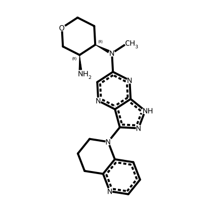 CN(c1cnc2c(N3CCCc4ncccc43)n[nH]c2n1)[C@@H]1CCOC[C@@H]1N